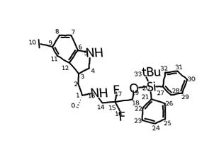 C[C@H](CC1CNc2ccc(I)cc21)NCC(F)(F)CO[Si](c1ccccc1)(c1ccccc1)C(C)(C)C